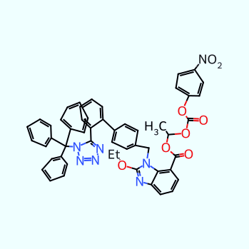 CCOc1nc2cccc(C(=O)OC(C)OC(=O)Oc3ccc([N+](=O)[O-])cc3)c2n1Cc1ccc(-c2ccccc2-c2nnnn2C(c2ccccc2)(c2ccccc2)c2ccccc2)cc1